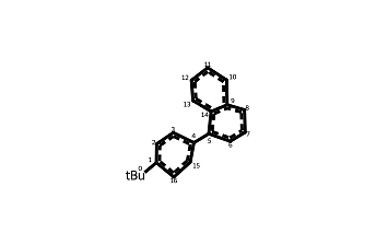 CC(C)(C)c1ccc(-c2cccc3ccccc23)cc1